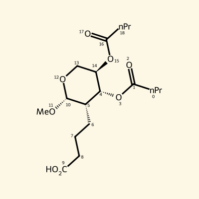 CCCC(=O)O[C@@H]1[C@H](CCCC(=O)O)[C@H](OC)OC[C@H]1OC(=O)CCC